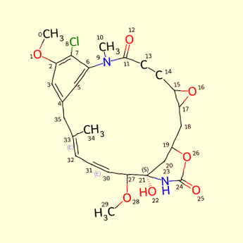 COc1cc2cc(c1Cl)N(C)C(=O)CCC1OC1CC1C[C@@](O)(NC(=O)O1)C(OC)/C=C/C=C(\C)C2